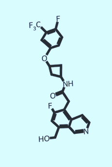 O=C(Cc1c(F)cc(CO)c2cnccc12)NC1CC(Oc2ccc(F)c(C(F)(F)F)c2)C1